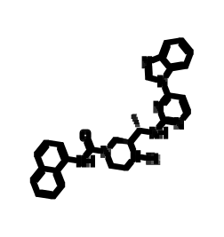 CCN1CCN(C(=O)Nc2cccc3ccccc23)C[C@H]1[C@H](C)Nc1nccc(-n2cnc3ccccc32)n1